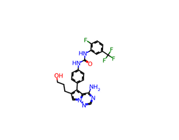 Nc1ncnn2cc(CCCO)c(-c3ccc(NC(=O)Nc4cc(C(F)(F)F)ccc4F)cc3)c12